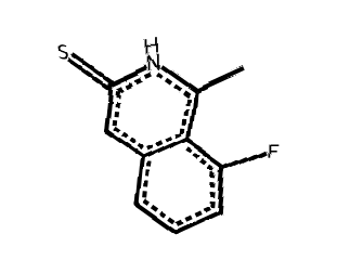 Cc1[nH]c(=S)cc2cccc(F)c12